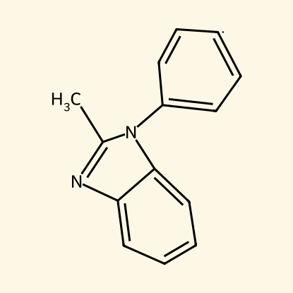 Cc1nc2ccccc2n1-c1cc[c]cc1